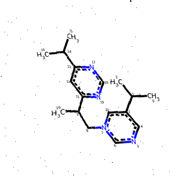 CC(C)c1cnc[n+](CC(C)c2cc(C(C)C)ncn2)c1